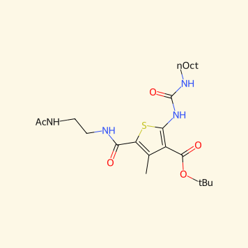 CCCCCCCCNC(=O)Nc1sc(C(=O)NCCNC(C)=O)c(C)c1C(=O)OC(C)(C)C